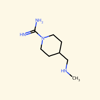 CNCC1CCN(C(=N)N)CC1